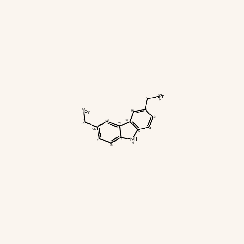 CC(C)Cc1ccc2[nH]c3ccc(CC(C)C)cc3c2c1